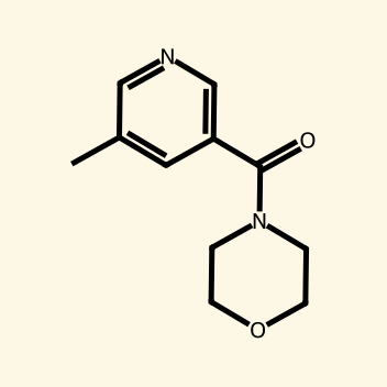 Cc1cncc(C(=O)N2CCOCC2)c1